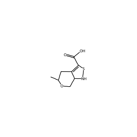 CC1CC2=C(C(=O)O)SNC2CO1